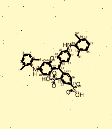 Cc1cccc(C)c1Nc1ccc2c(-c3ccc(S(=O)(=O)O)cc3S(=O)(=O)O)c3ccc(Nc4c(C)cccc4C)cc3[o+]c2c1